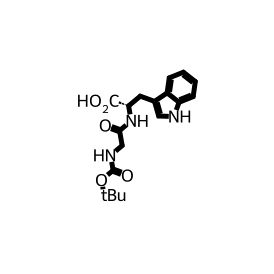 CC(C)(C)OC(=O)NCC(=O)N[C@@H](Cc1c[nH]c2ccccc12)C(=O)O